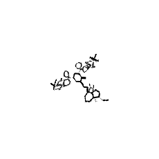 C=C1/C(=C\C=C2/CCC[C@]3(C)[C@@H](CC)CC[C@@H]23)C[C@H](C(=O)O[Si](C)(C)C(C)(C)C)C[C@@H]1C(=O)O[Si](C)(C)C(C)(C)C